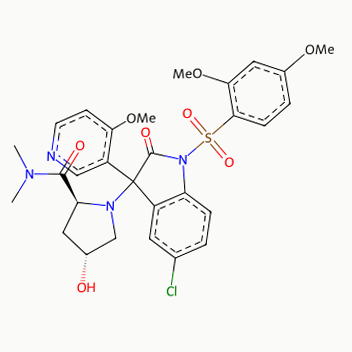 COc1ccc(S(=O)(=O)N2C(=O)C(c3cnccc3OC)(N3C[C@H](O)C[C@H]3C(=O)N(C)C)c3cc(Cl)ccc32)c(OC)c1